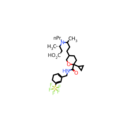 CCCN(C(C)CCC1CCC(C(=O)NCC2=CCCC(S(F)(F)(F)(F)F)=C2)(C2CC2)OC1)[C@@H](C)CC(=O)O